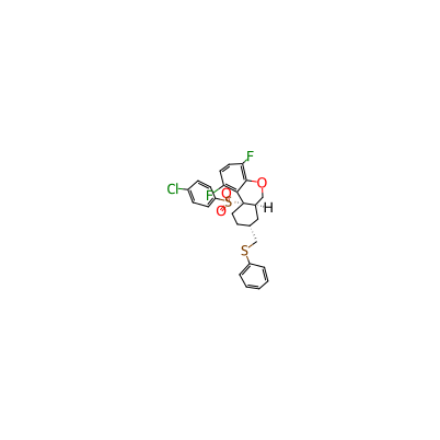 O=S(=O)(c1ccc(Cl)cc1)[C@@]12CC[C@@H](CSc3ccccc3)C[C@@H]1COc1c(F)ccc(F)c12